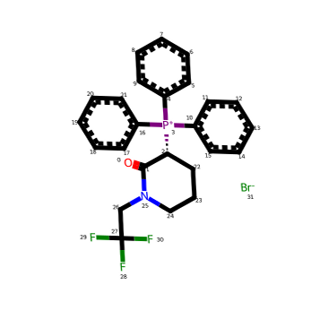 O=C1[C@H]([P+](c2ccccc2)(c2ccccc2)c2ccccc2)CCCN1CC(F)(F)F.[Br-]